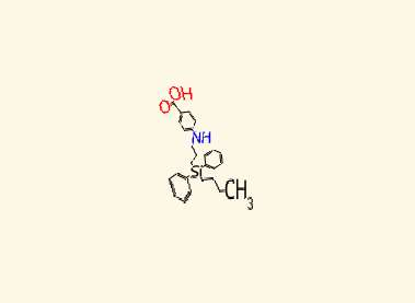 CCCC[Si](CCCNc1ccc(C(=O)O)cc1)(c1ccccc1)c1ccccc1